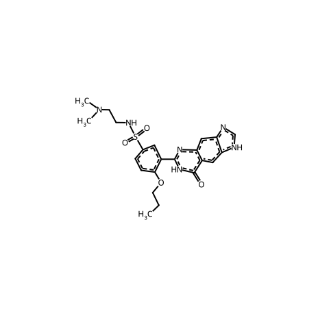 CCCOc1ccc(S(=O)(=O)NCCN(C)C)cc1-c1nc2cc3nc[nH]c3cc2c(=O)[nH]1